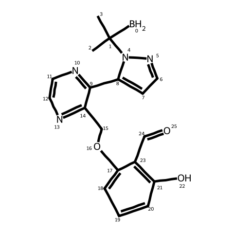 BC(C)(C)n1nccc1-c1nccnc1COc1cccc(O)c1C=O